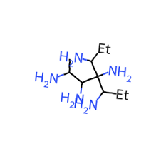 CCC(N)C(N)(C(N)CC)C(N)C(C)N